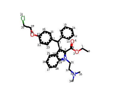 CCOC(=O)c1c(C(c2ccccc2)c2ccc(OCCCl)cc2)c2ccccc2n1CCN(C)C